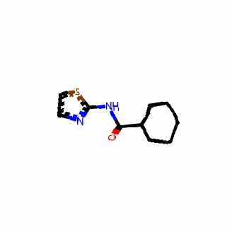 O=C(Nc1nccs1)C1CCCCC1